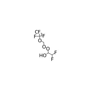 OC(OOCOC(F)(F)C(F)(F)F)C(F)F